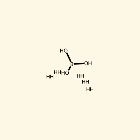 OB(O)O.[HH].[HH].[HH].[HH].[HH]